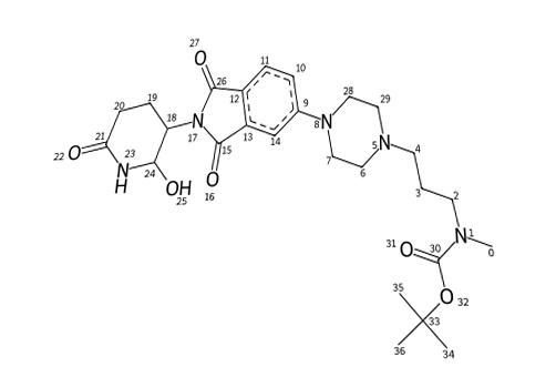 CN(CCCN1CCN(c2ccc3c(c2)C(=O)N(C2CCC(=O)NC2O)C3=O)CC1)C(=O)OC(C)(C)C